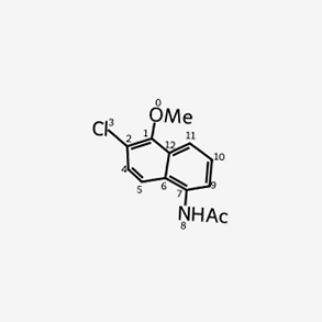 COc1c(Cl)ccc2c(NC(C)=O)cccc12